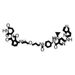 O=C1CCC(N2C(=O)c3cccc(NCCCOCCCNC(=O)[C@H]4CC[C@H](NC(=O)c5cnc(Nc6ccc7cnccc7n6)cc5NC5CC5)CC4)c3C2=O)C(=O)N1